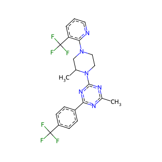 Cc1nc(-c2ccc(C(F)(F)F)cc2)nc(N2CCN(c3ncccc3C(F)(F)F)CC2C)n1